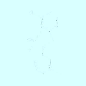 O=S(=O)(Cl)C(Cc1cccc(Cl)c1)c1cccc(Cl)c1